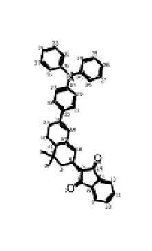 CC1(C)CC(=C2C(=O)c3ccccc3C2=O)C=C2C=C(c3ccc(N(c4ccccc4)c4ccccc4)cc3)CCC21